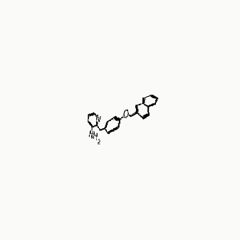 Nc1cccnc1Cc1ccc(OCc2ccc3ccccc3c2)cc1